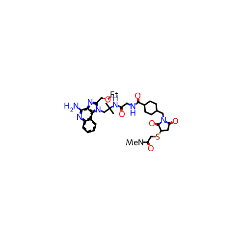 CCOCc1nc2c(N)nc3ccccc3c2n1CC(C)(C)NC(=O)CNC(=O)C1CCC(CN2C(=O)CC(SCC(=O)NC)C2=O)CC1